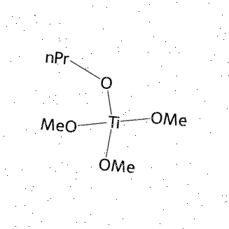 CCC[O][Ti]([O]C)([O]C)[O]C